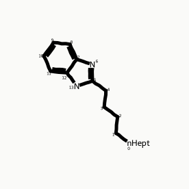 CCCCCCCCCCCC1=Nc2ccccc2[N]1